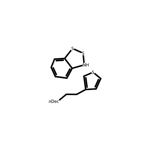 CCCCCCCCCCCCc1ccsc1.c1ccc2c(c1)NSS2